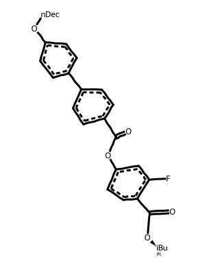 CCCCCCCCCCOc1ccc(-c2ccc(C(=O)Oc3ccc(C(=O)O[C@H](C)CC)c(F)c3)cc2)cc1